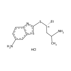 CC[C@H](CC(C)N)Sc1nc2ccc(N)cc2s1.Cl